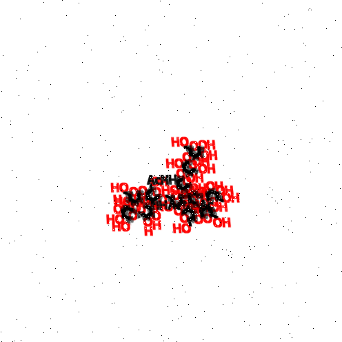 CC(=O)N[C@H]1[C@H](O[C@H]2[C@@H](O)[C@@H](CO)O[C@@H](O[C@H]3[C@H](O)[C@@H](O)[C@H](O)O[C@@H]3CO)[C@@H]2O)O[C@H](CO)[C@@H](O[C@@H]2O[C@H](CO[C@@H]3O[C@H](CO)[C@@H](O[C@@H]4O[C@H](CO)[C@H](O)[C@H](O[C@H]5O[C@H](CO)[C@H](O)[C@H](O)[C@H]5O)[C@H]4O[C@@H]4O[C@@H](C)[C@@H](O)[C@@H](O)[C@@H]4O)[C@H](O)[C@H]3NC(C)=O)[C@H](O)[C@H](O[C@@H]3O[C@H](CO)[C@@H](O[C@@H]4O[C@H](CO)[C@H](O)[C@H](O[C@H]5O[C@H](CO)[C@H](O)[C@H](O)[C@H]5O)[C@H]4O[C@@H]4O[C@@H](C)[C@@H](O)[C@@H](O)[C@@H]4O)[C@H](O)[C@H]3NC(C)=O)[C@H]2O)[C@@H]1O